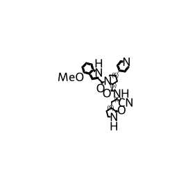 COc1cccc2[nH]c(C(=O)N3C[C@H](c4ccncc4)C[C@H]3C(=O)N[C@H](C#N)C[C@@H]3CCNC3=O)cc12